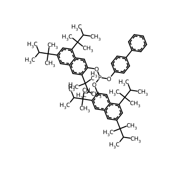 CC(C)C(C)(C)c1cc(C(C)(C)C(C)C)c2cc(OP(Oc3ccc(-c4ccccc4)cc3)Oc3cc4c(C(C)(C)C(C)C)cc(C(C)(C)C(C)C)cc4cc3C(C)(C)C(C)C)c(C(C)(C)C(C)C)cc2c1